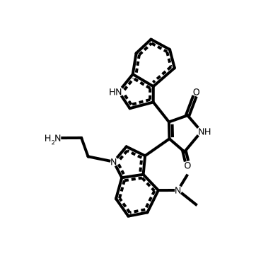 CN(C)c1cccc2c1c(C1=C(c3c[nH]c4ccccc34)C(=O)NC1=O)cn2CCN